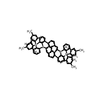 Cc1cc(C)c([Si]2(c3c(C)cc(C)cc3C)c3ccccc3B3c4c(cccc42)-c2ccc4cc5c6c(ccc7cc3c2c4c76)-c2cccc3c2B5c2ccccc2[Si]3(c2c(C)cc(C)cc2C)c2c(C)cc(C)cc2C)c(C)c1